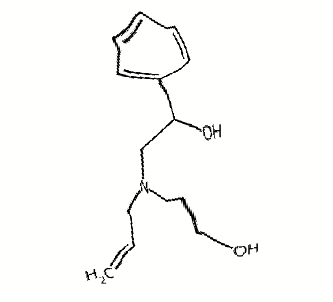 C=CCN(CCO)CC(O)c1ccccc1